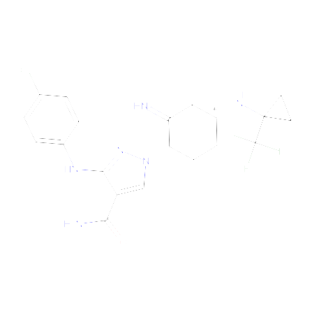 N=C1C[C@H](NC2(C(F)(F)F)CC2)CC[C@@H]1n1cc(C(N)=O)c(Nc2ccc(Cl)cc2)n1